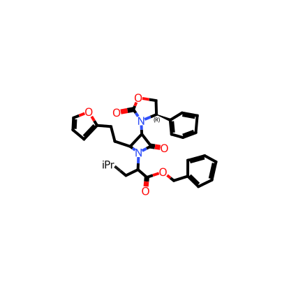 CC(C)CC(C(=O)OCc1ccccc1)N1C(=O)C(N2C(=O)OC[C@H]2c2ccccc2)C1CCc1ccco1